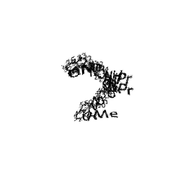 COc1cccc2c1C(Nc1ccc3cc(NC(=O)N(C(C)C)N(C(=O)Nc4ccc5nc(NC6CCc7cccc(OC)c76)ccc5c4)C(C)C)ccc3n1)CC2